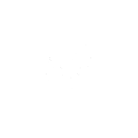 CCC(C)[C@H]1C(=O)Nc2ccc(F)cc2CN1C(N)=O